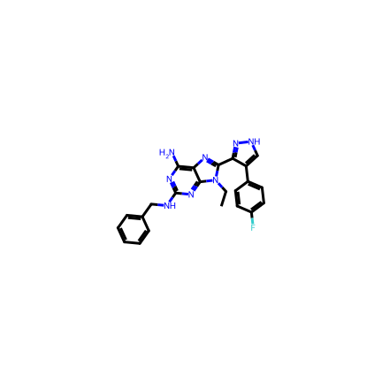 CCn1c(-c2n[nH]cc2-c2ccc(F)cc2)nc2c(N)nc(NCc3ccccc3)nc21